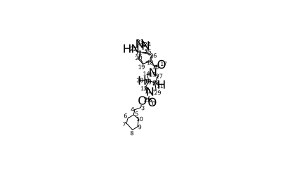 O=C(OCCC1CCCCC1)N1C[C@@H]2CN(C(=O)c3ccc4[nH]nnc4c3)C[C@@H]2C1